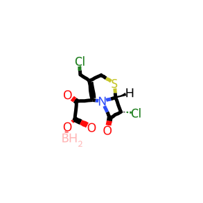 BOC(=O)C(=O)C1=C(CCl)CS[C@@H]2[C@H](Cl)C(=O)N12